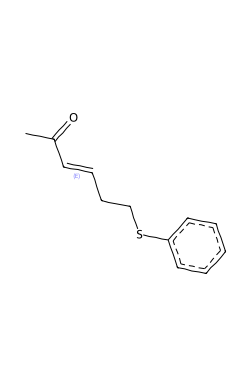 CC(=O)/C=C/CCSc1ccccc1